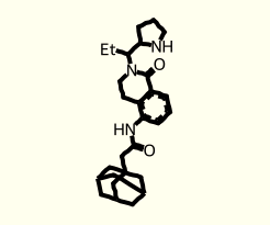 CCC(C1CCCN1)N1CCc2c(NC(=O)CC34CC5CC(CC(C5)C3)C4)cccc2C1=O